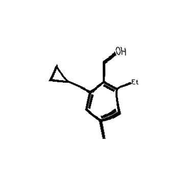 CCc1cc(C)cc(C2CC2)c1CO